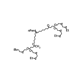 C=C(CCC(OCCC1CC1CCC(C)CC)OCCC1CC1CC1CC1CC)OCCCCCCN(CCCCC)CCCCCCCC(=O)CCC(OCCC1CC1CC1CC1CC)OCCC1CC1CC1CC1CC